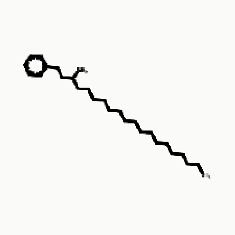 CCCCCCCCCCCCCCCCCC(N)CCc1ccccc1